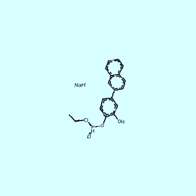 CCO[PH](=O)Oc1ccc(-c2ccc3ccccc3c2)cc1O.[NaH]